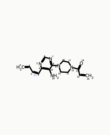 C=C/C=C\c1ncnc(N2CCN(C(=O)C=C)CC2)c1N